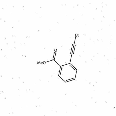 CCC#Cc1ccccc1C(=O)OC